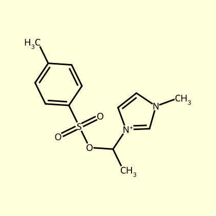 Cc1ccc(S(=O)(=O)OC(C)[n+]2ccn(C)c2)cc1